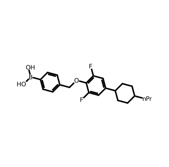 CCCC1CCC(c2cc(F)c(OCc3ccc(B(O)O)cc3)c(F)c2)CC1